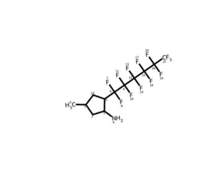 CC1CC(N)C(C(F)(F)C(F)(F)C(F)(F)C(F)(F)C(F)(F)C(F)(F)F)C1